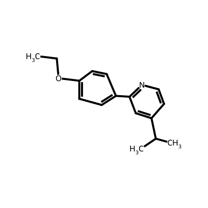 CCOc1ccc(-c2cc(C(C)C)ccn2)cc1